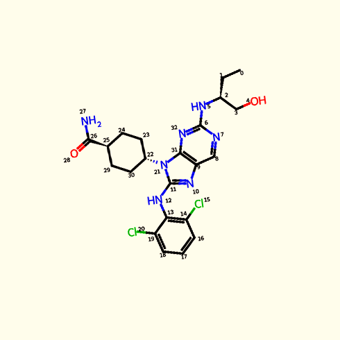 CC[C@@H](CO)Nc1ncc2nc(Nc3c(Cl)cccc3Cl)n([C@H]3CC[C@H](C(N)=O)CC3)c2n1